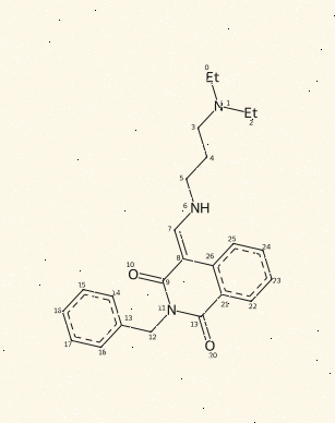 CCN(CC)CCCN/C=C1/C(=O)N(Cc2ccccc2)C(=O)c2ccccc21